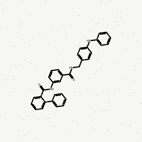 O=C(NCc1ccc(Nc2ccccc2)cc1)c1cccc(NC(=O)c2ccccc2-c2ccccc2)c1